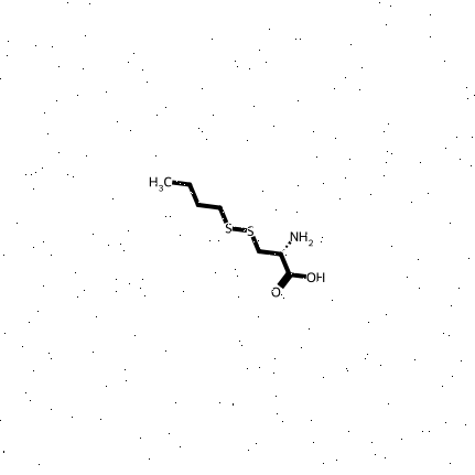 CCCCSSC[C@H](N)C(=O)O